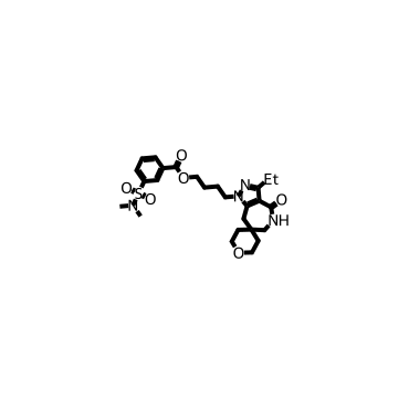 CCc1nn(CCCCOC(=O)c2cccc(S(=O)(=O)N(C)C)c2)c2c1C(=O)NCC1(CCOCC1)C2